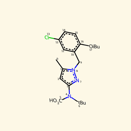 Cc1cc(N(C(=O)O)C(C)(C)C)nn1Cc1cc(Cl)ccc1OCC(C)C